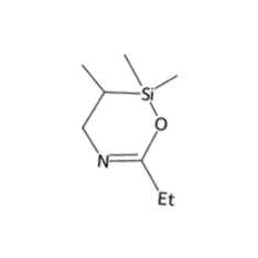 CCC1=NCC(C)[Si](C)(C)O1